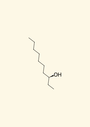 CCCCCCC[C@@H](O)CC